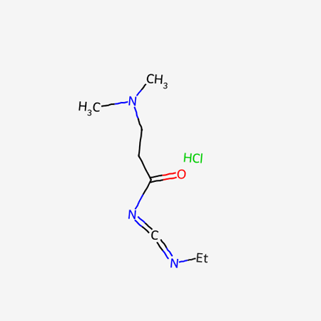 CCN=C=NC(=O)CCN(C)C.Cl